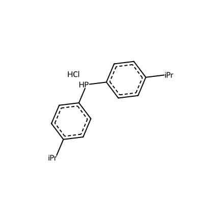 CC(C)c1ccc(Pc2ccc(C(C)C)cc2)cc1.Cl